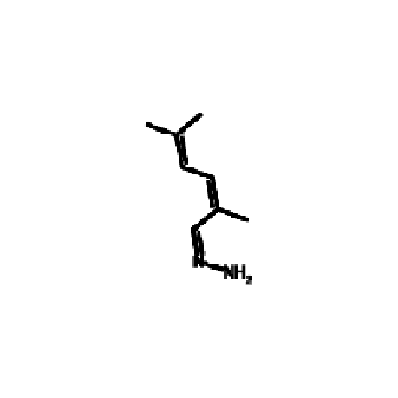 CC(C)=C/C=C(C)\C=N/N